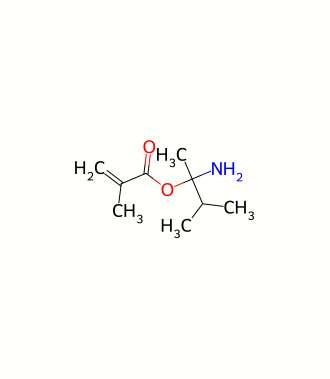 C=C(C)C(=O)OC(C)(N)C(C)C